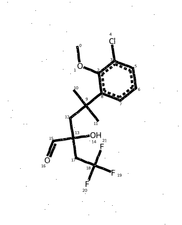 COc1c(Cl)cccc1C(C)(C)CC(O)(C=O)CC(F)(F)F